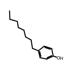 CCCCCCCCc1c[c]c(O)cc1